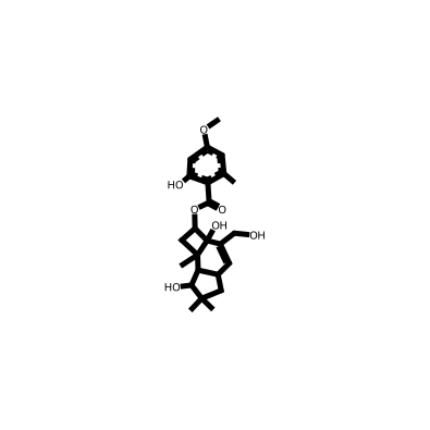 COc1cc(C)c(C(=O)OC2CC3(C)C4C(C=C(CO)C23O)CC(C)(C)C4O)c(O)c1